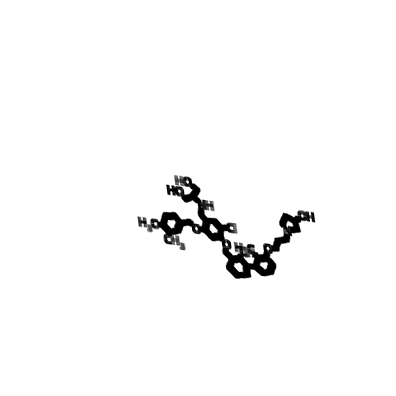 Cc1ccc(COc2cc(OCc3cccc(-c4cccc(OCCCN5CCC(O)C5)c4C)c3C)c(Cl)cc2CNC(CO)CO)cc1C